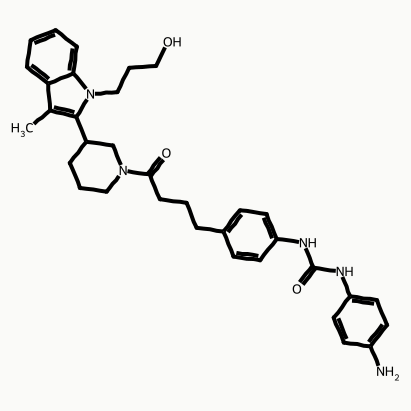 Cc1c(C2CCCN(C(=O)CCCc3ccc(NC(=O)Nc4ccc(N)cc4)cc3)C2)n(CCCO)c2ccccc12